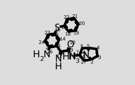 CN1C2CCC1CC(NC(=O)C(=N)c1cc(Sc3ccccc3)ccc1N)C2